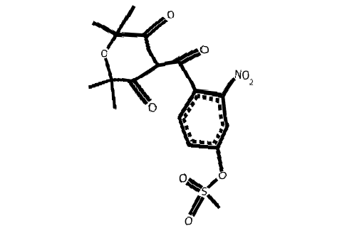 CC1(C)OC(C)(C)C(=O)C(C(=O)c2ccc(OS(C)(=O)=O)cc2[N+](=O)[O-])C1=O